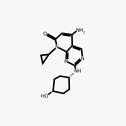 Nc1cc(=O)n(C2CC2)c2nc(N[C@H]3CC[C@H](O)CC3)ncc12